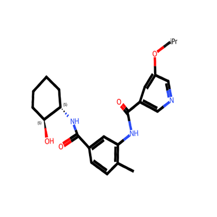 Cc1ccc(C(=O)N[C@H]2CCCC[C@@H]2O)cc1NC(=O)c1cncc(OC(C)C)c1